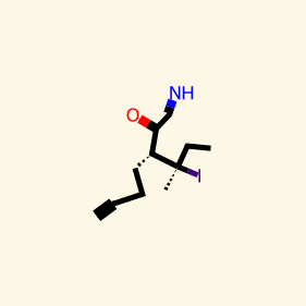 C#CCC[C@H](C(=O)C=N)[C@](C)(I)CC